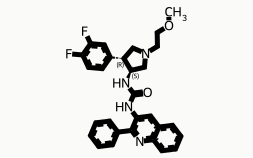 COCCN1C[C@@H](NC(=O)Nc2cc3ccccc3nc2-c2ccccc2)[C@H](c2ccc(F)c(F)c2)C1